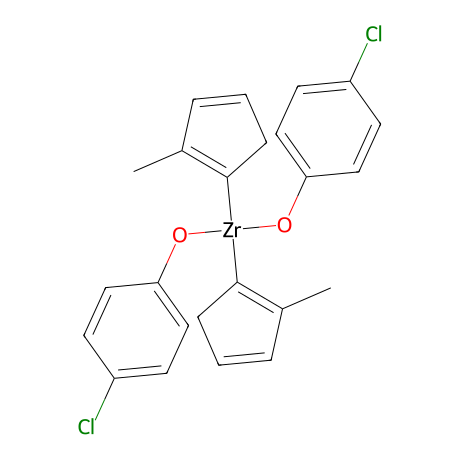 CC1=[C]([Zr]([O]c2ccc(Cl)cc2)([O]c2ccc(Cl)cc2)[C]2=C(C)C=CC2)CC=C1